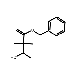 C=C(OCc1ccccc1)C(C)(C)C(C)O